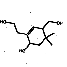 CC1(C)CC(O)C(CCO)=CC1CO